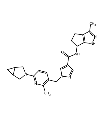 Cc1nc(N2CC3CC3C2)ccc1Cn1cc(C(=O)NC2CCc3c(C)n[nH]c32)cn1